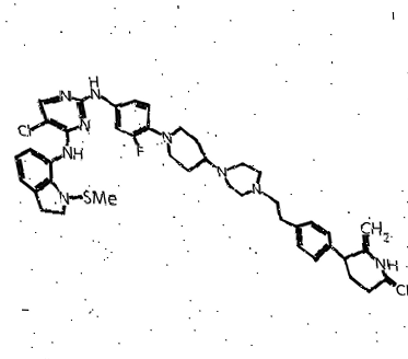 C=C1CCC(c2ccc(CCN3CCN(C4CCN(c5ccc(Nc6ncc(Cl)c(Nc7cccc8c7N(SC)CC8)n6)cc5F)CC4)CC3)cc2)C(=C)N1